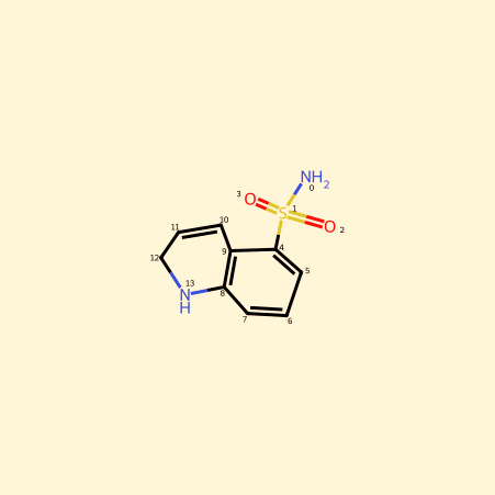 NS(=O)(=O)c1cccc2c1C=CCN2